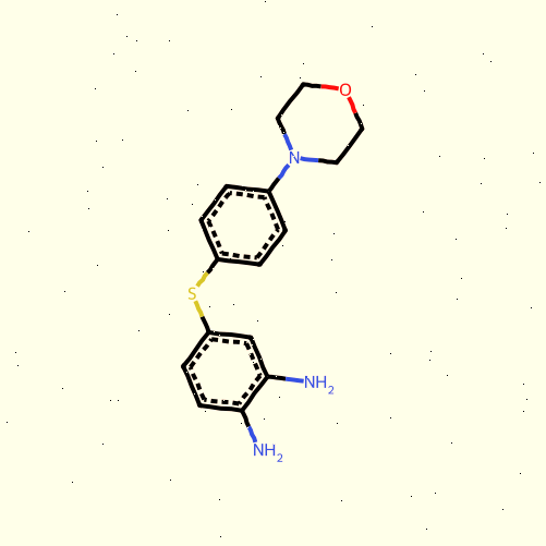 Nc1ccc(Sc2ccc(N3CCOCC3)cc2)cc1N